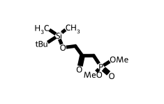 COP(=O)(CC(=O)CO[Si](C)(C)C(C)(C)C)OC